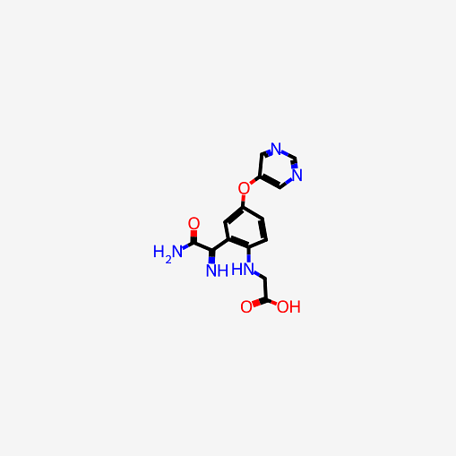 N=C(C(N)=O)c1cc(Oc2cncnc2)ccc1NCC(=O)O